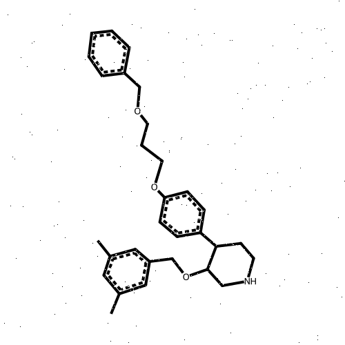 Cc1cc(C)cc(COC2CNCCC2c2ccc(OCCCOCc3ccccc3)cc2)c1